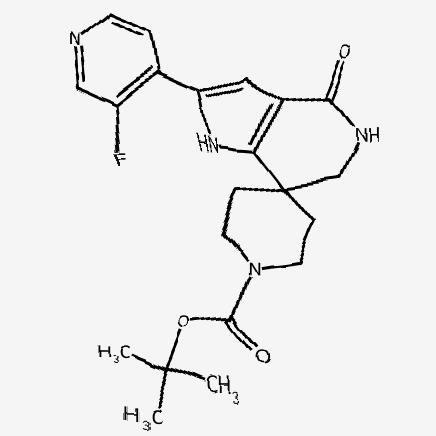 CC(C)(C)OC(=O)N1CCC2(CC1)CNC(=O)c1cc(-c3ccncc3F)[nH]c12